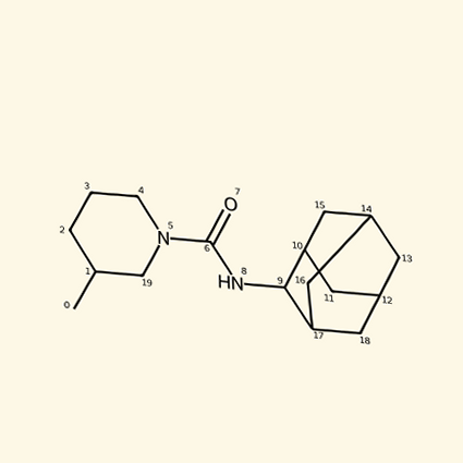 CC1CCCN(C(=O)NC2C3CC4CC(C3)CC2C4)C1